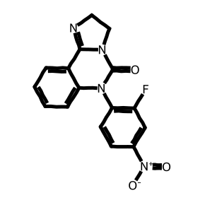 O=C1N2CCN=C2c2ccccc2N1c1ccc([N+](=O)[O-])cc1F